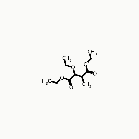 CCOC(=O)C(C)C(OCC)C(=O)OCC